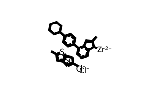 CC1=C2c3cc(C)sc3C1[Si]2(C)C.CC1=Cc2c(-c3ccc(C4CCCCC4)cc3)cccc2[CH]1[Zr+2].[Cl-].[Cl-]